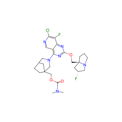 CN(C)C(=O)OCC12CCC(CN(c3nc(OC[C@@]45CCCN4C[C@H](F)C5)nc4c(F)c(Cl)ncc34)C1)C2